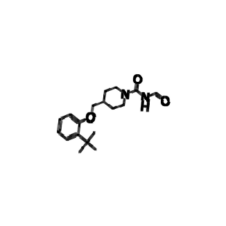 CC(C)(C)c1ccccc1OCC1CCN(C(=O)NC=O)CC1